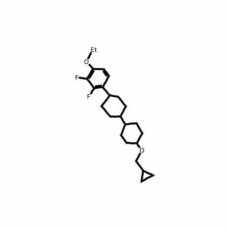 CCOc1ccc(C2CCC(C3CCC(OCC4CC4)CC3)CC2)c(F)c1F